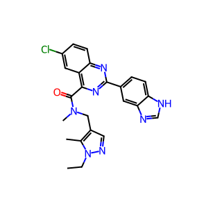 CCn1ncc(CN(C)C(=O)c2nc(-c3ccc4[nH]cnc4c3)nc3ccc(Cl)cc23)c1C